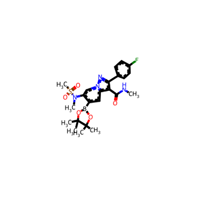 CNC(=O)c1c(-c2ccc(F)cc2)nn2cc(N(C)S(C)(=O)=O)c(B3OC(C)(C)C(C)(C)O3)cc12